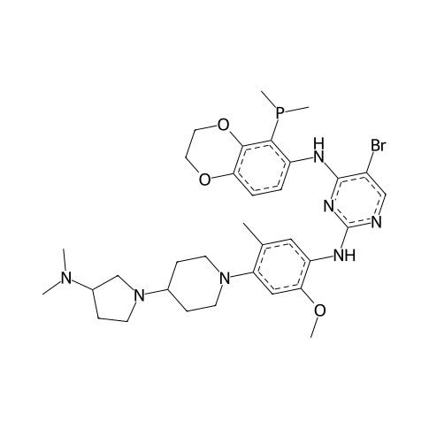 COc1cc(N2CCC(N3CCC(N(C)C)C3)CC2)c(C)cc1Nc1ncc(Br)c(Nc2ccc3c(c2P(C)C)OCCO3)n1